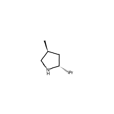 CC(C)[C@H]1C[C@H](C)CN1